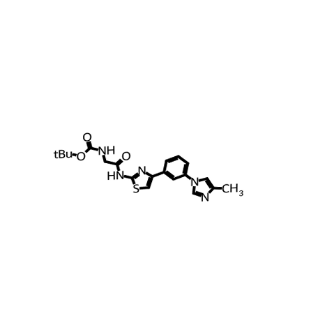 Cc1cn(-c2cccc(-c3csc(NC(=O)CNC(=O)OC(C)(C)C)n3)c2)cn1